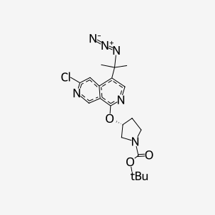 CC(C)(C)OC(=O)N1CC[C@@H](Oc2ncc(C(C)(C)N=[N+]=[N-])c3cc(Cl)ncc23)C1